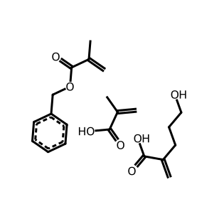 C=C(C)C(=O)O.C=C(C)C(=O)OCc1ccccc1.C=C(CCCO)C(=O)O